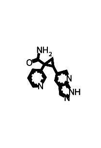 NC(=O)C1(c2cccnc2)CC1c1cnc2[nH]ncc2c1